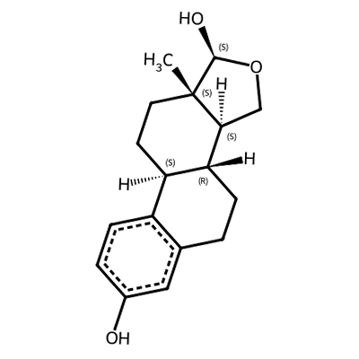 C[C@]12CC[C@@H]3c4ccc(O)cc4CC[C@H]3[C@@H]1CO[C@@H]2O